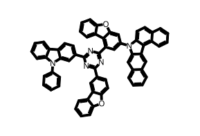 c1ccc(-n2c3ccccc3c3ccc(-c4nc(-c5ccc6oc7ccccc7c6c5)nc(-c5cc(-n6c7cc8ccccc8cc7c7c8ccccc8ccc76)cc6oc7ccccc7c56)n4)cc32)cc1